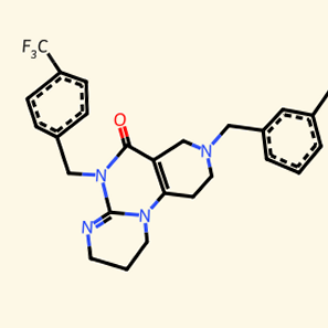 Cc1cccc(CN2CCC3=C(C2)C(=O)N(Cc2ccc(C(F)(F)F)cc2)C2=NCCCN23)c1